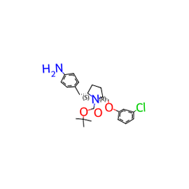 CC(C)(C)OC(=O)N1[C@@H](COc2cccc(Cl)c2)CC[C@H]1Cc1ccc(N)cc1